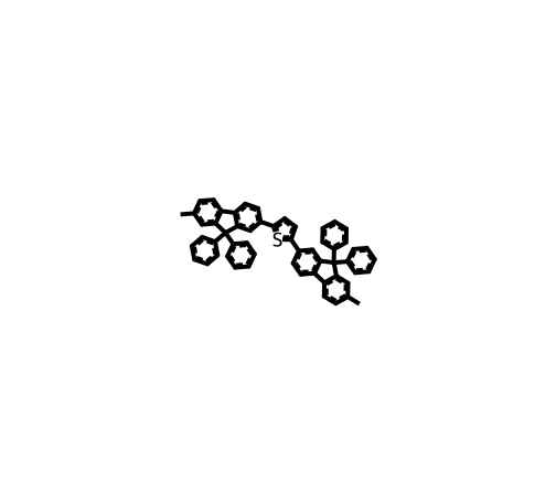 Cc1ccc2c(c1)C(c1ccccc1)(c1ccccc1)c1cc(-c3ccc(-c4ccc5c(c4)C(c4ccccc4)(c4ccccc4)c4cc(C)ccc4-5)s3)ccc1-2